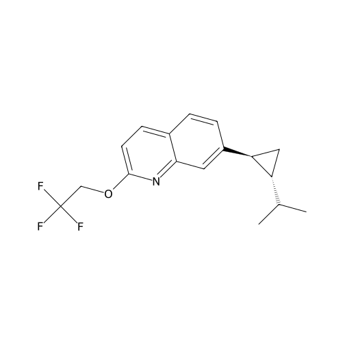 CC(C)[C@H]1C[C@@H]1c1ccc2ccc(OCC(F)(F)F)nc2c1